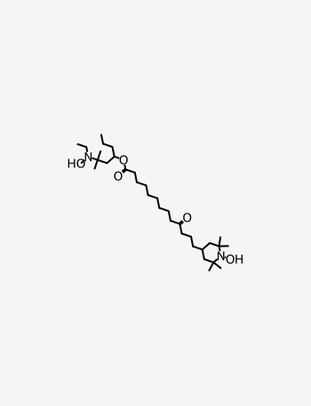 CCCC(CC(C)(C)N(O)CC)OC(=O)CCCCCCCCC(=O)CCCC1CC(C)(C)N(O)C(C)(C)C1